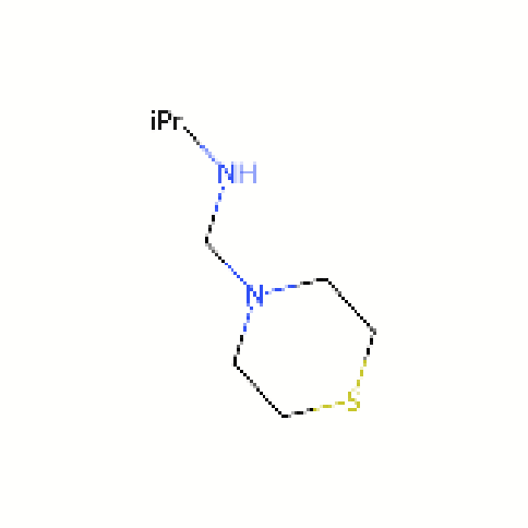 CC(C)NCN1CCSCC1